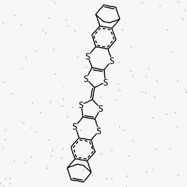 C1=CC2CCC1c1cc3c(cc12)SC1=C(SC(=C2SC4=C(S2)Sc2cc5c(cc2S4)C2C=CC5CC2)S1)S3